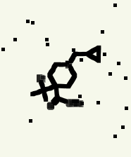 CCC(C)(C)C1(C(=O)OC)CCN(CC2CC2)CC1